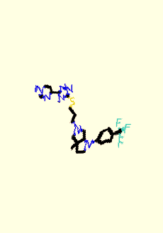 Cn1c(SCCCN2CC3N(c4ccc(C(F)(F)F)cc4)CCC3(C)C2)nnc1-c1ccncn1